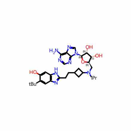 CC(C)N(C[C@H]1O[C@@H](n2cnc3c(N)ncnc32)[C@H](O)[C@@H]1O)C1CC(CCc2nc3cc(C(C)(C)C)c(O)cc3[nH]2)C1